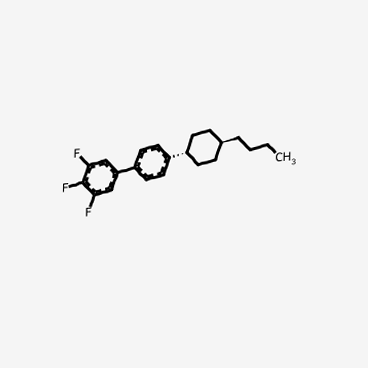 CCCC[C@H]1CC[C@H](c2ccc(-c3cc(F)c(F)c(F)c3)cc2)CC1